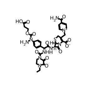 CCN1CCN(C(=O)N[C@@H](C(=O)N[C@@H]2C(=O)N3C(C(=O)[O-])=C(C[n+]4ccc(C(N)=O)cc4)CS[C@@H]23)c2ccc(N(N)C(=O)OCCC(=O)O)cc2)C(=O)C1=O